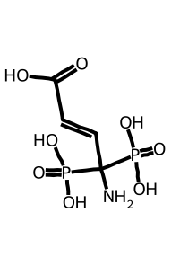 NC(C=CC(=O)O)(P(=O)(O)O)P(=O)(O)O